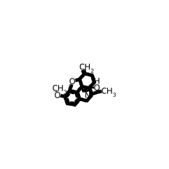 C=C1CC[C@]2(O)C3Cc4ccc(OC)c5c4[C@]2(CCN3C)C1O5